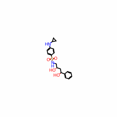 O=S(=O)(NC[C@H](O)CC(O)c1ccccc1)c1ccc(NC2CC2)cc1